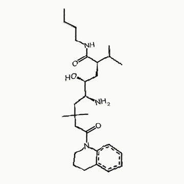 CCCCNC(=O)[C@H](C[C@H](O)[C@@H](N)CC(C)(C)CC(=O)N1CCCc2ccccc21)C(C)C